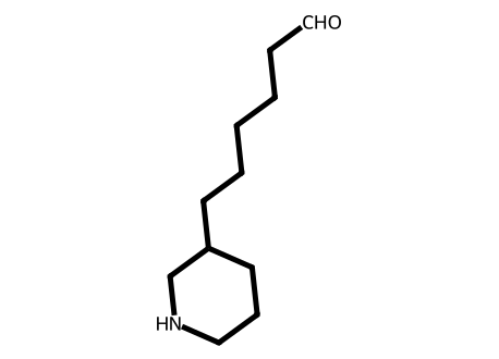 O=CCCCCCC1CCCNC1